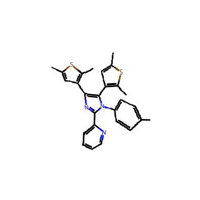 Cc1ccc(-n2c(-c3ccccn3)nc(-c3cc(C)sc3C)c2-c2cc(C)sc2C)cc1